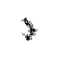 CC1C(COC(=O)N2C[C@@H]3CN(C(=O)c4ccc5[nH]nnc5c4)C[C@@H]3C2)[C@H]2CC[C@@H]1C2